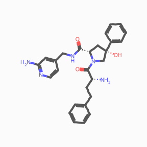 Nc1cc(CNC(=O)[C@@H]2C[C@@](O)(c3ccccc3)CN2C(=O)[C@H](N)CCc2ccccc2)ccn1